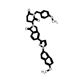 COc1ccc(CN2C(=O)CCC(N3Cc4cc(-c5ccn(-c6ccc7cc(OC)ccc7c6)n5)ccc4C3=O)C2=O)cc1